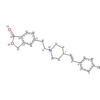 N#Cc1ccc(C=CC2CCN(CCc3ccc4c(c3)COC4=O)CC2)cc1